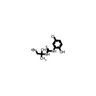 CC(C)(C)CC(C)(C)NC(=S)Nc1cc(Cl)ccc1O